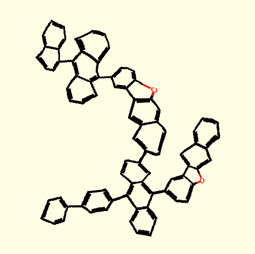 c1ccc(-c2ccc(-c3c4ccccc4c(-c4ccc5oc6cc7ccccc7cc6c5c4)c4cc(-c5ccc6cc7oc8ccc(-c9c%10ccccc%10c(-c%10cccc%11ccccc%10%11)c%10ccccc9%10)cc8c7cc6c5)ccc34)cc2)cc1